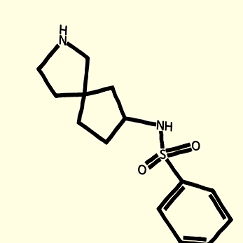 O=S(=O)(NC1CCC2(CCNC2)C1)c1ccccc1